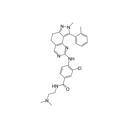 Cc1ccccc1-c1c2c(nn1C)CCc1cnc(Nc3ccc(C(=O)NCCN(C)C)cc3Cl)nc1-2